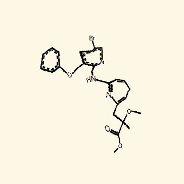 COC(=O)C(C)(CC1=CCC=CC(Nc2ncc(Br)cc2Oc2ccccc2)=N1)OC